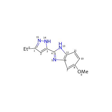 CCc1cc(-c2nc3cc(OC)ccc3[nH]2)[nH]n1